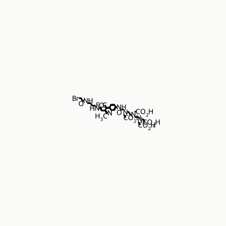 Cc1nc2cc(NC(=O)CN(CCN(CCN(CC(=O)O)CC(=O)O)CC(=O)O)CC(=O)O)ccc2c(C(F)(F)F)c1CC(=O)NCCCCNC(=O)CBr